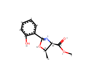 COC(=O)[C@@H]1N=C(c2ccccc2O)O[C@@H]1C